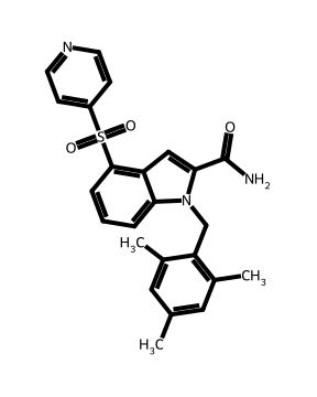 Cc1cc(C)c(Cn2c(C(N)=O)cc3c(S(=O)(=O)c4ccncc4)cccc32)c(C)c1